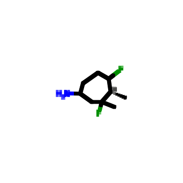 C[C@H]1C(F)CCC(N)CC1(C)F